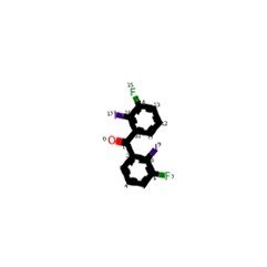 O=C(c1cccc(F)c1I)c1cccc(F)c1I